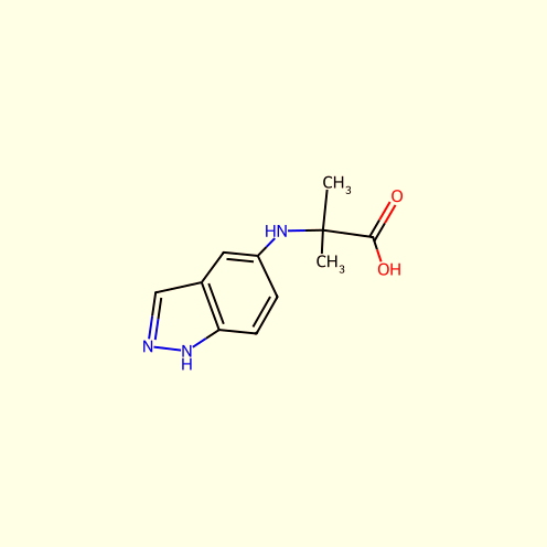 CC(C)(Nc1ccc2[nH]ncc2c1)C(=O)O